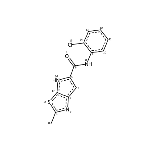 Cc1nc2cc(C(=O)Nc3ccccc3Cl)[nH]c2s1